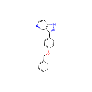 c1ccc(COc2ccc(-c3n[nH]c4ccncc34)cc2)cc1